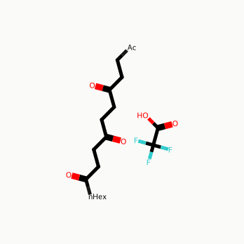 CCCCCCC(=O)CCC(=O)CCC(=O)CCC(C)=O.O=C(O)C(F)(F)F